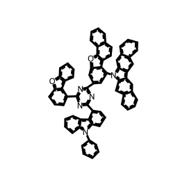 c1ccc(-n2c3ccccc3c3c(-c4nc(-c5cc(-n6c7cc8ccccc8cc7c7cc8ccccc8cc76)c6c(c5)oc5c7ccccc7ccc56)nc(-c5cccc6oc7ccccc7c56)n4)cccc32)cc1